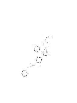 O=C(O)N1CCC(n2ncc(-c3ccc4c(c3)CC/C4=N\OCc3ccccc3)c2-c2ccncc2)CC1